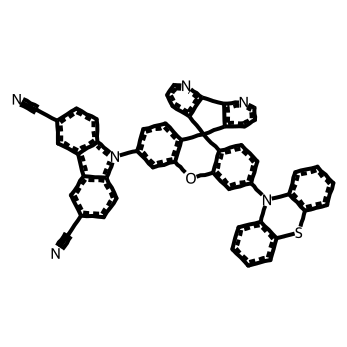 N#Cc1ccc2c(c1)c1cc(C#N)ccc1n2-c1ccc2c(c1)Oc1cc(N3c4ccccc4Sc4ccccc43)ccc1C21c2cccnc2-c2ncccc21